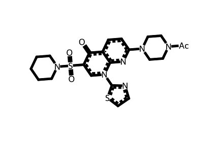 CC(=O)N1CCN(c2ccc3c(=O)c(S(=O)(=O)N4CCCCC4)cn(-c4nccs4)c3n2)CC1